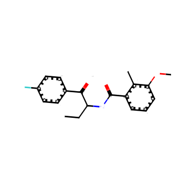 CCC(NC(=O)c1cccc(OC)c1C)C(=O)c1ccc(F)cc1